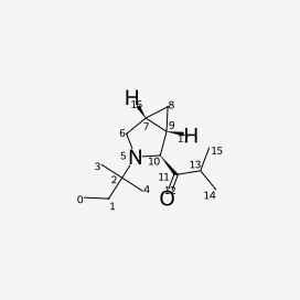 CCC(C)(C)N1C[C@@H]2C[C@@H]2[C@H]1C(=O)C(C)C